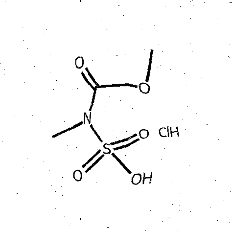 COC(=O)N(C)S(=O)(=O)O.Cl